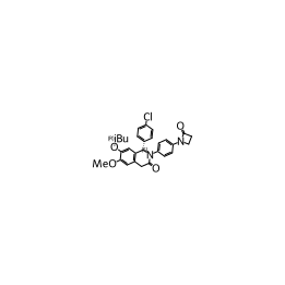 CC[C@@H](C)Oc1cc2c(cc1OC)CC(=O)N(c1ccc(N3CCC3=O)cc1)[C@H]2c1ccc(Cl)cc1